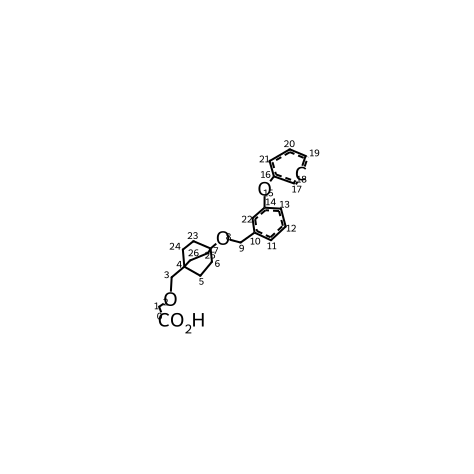 O=C(O)COCC12CCC(OCc3cccc(Oc4ccccc4)c3)(CC1)CC2